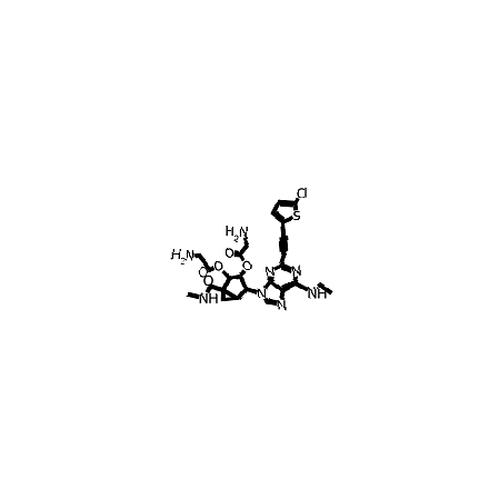 CCNc1nc(C#Cc2ccc(Cl)s2)nc2c1ncn2C1C(OC(=O)CN)C(OC(=O)CN)C2(C(=O)NC)CC12